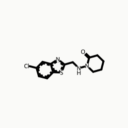 O=C1CCCCN1NCc1nc2cc(Cl)ccc2s1